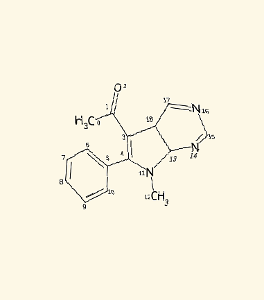 CC(=O)C1=C(c2ccccc2)N(C)C2N=CN=CC12